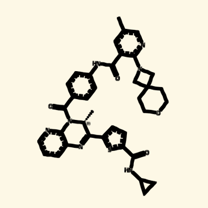 Cc1cnc(N2CC3(CCOCC3)C2)c(C(=O)Nc2ccc(C(=O)N3c4ncccc4N=C(c4ccc(C(=O)NC5CC5)s4)[C@H]3C)cc2)c1